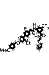 CCOc1cc(OCc2ccc(OC)cc2)ncc1-c1ccc(CC(=O)Nc2cc(C(=O)NCCN3CCC(F)(F)C3)cc(C(F)(F)F)c2)c(F)c1